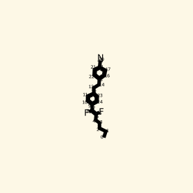 CCCCC/C(F)=C(\F)c1ccc(CCc2ccc(C#N)cc2)cc1